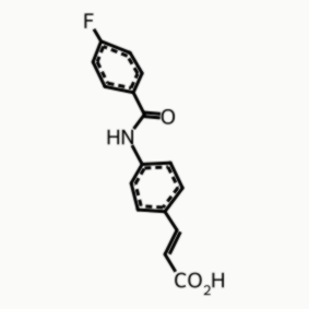 O=C(O)C=Cc1ccc(NC(=O)c2ccc(F)cc2)cc1